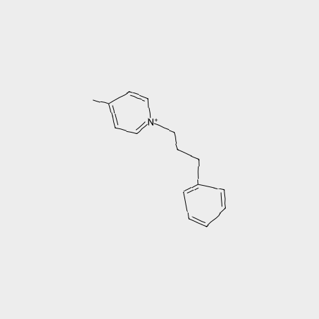 Cc1cc[n+](CCCc2ccccc2)cc1